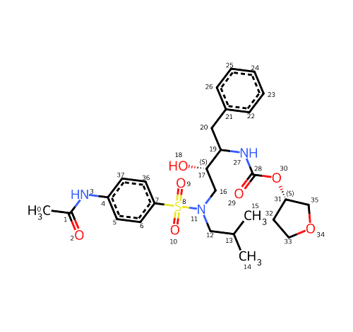 CC(=O)Nc1ccc(S(=O)(=O)N(CC(C)C)C[C@H](O)C(Cc2ccccc2)NC(=O)O[C@H]2CCOC2)cc1